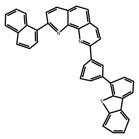 c1cc(-c2ccc3ccc4ccc(-c5cccc6ccccc56)nc4c3n2)cc(-c2cccc3c2sc2ccccc23)c1